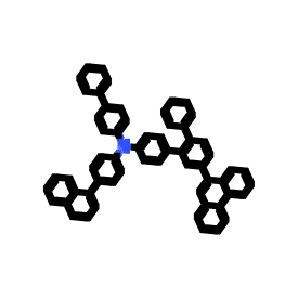 c1ccc(-c2ccc(N(c3ccc(-c4cc(-c5cc6ccccc6c6ccccc56)ccc4-c4ccccc4)cc3)c3ccc(-c4cccc5ccccc45)cc3)cc2)cc1